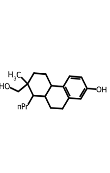 CCCC1C2CCc3cc(O)ccc3C2CCC1(C)CO